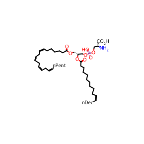 CCCCC/C=C\C/C=C\C/C=C\C/C=C\CCCCCC(=O)OC[C@H](COP(=O)(O)OC[C@H](N)C(=O)O)OC(=O)CCCCCCCCC/C=C\CCCCCCCCCC